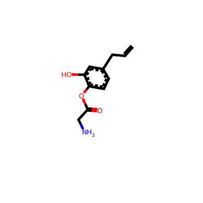 C=CCc1ccc(OC(=O)CN)c(O)c1